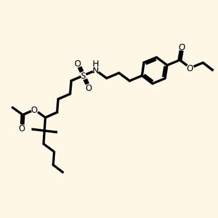 CCCCC(C)(C)C(CCCCS(=O)(=O)NCCCc1ccc(C(=O)OCC)cc1)OC(C)=O